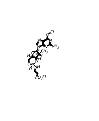 CCOC(=O)CCNP1(=O)OC[C@H]2O[C@@H](n3cnc4c(OCC)nc(N)nc43)[C@](C)(F)[C@@H]2O1